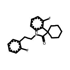 O=C(NCCc1ccccc1F)C1(c2ccccc2F)CCCCC1